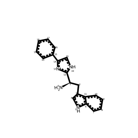 N[C@H](Cc1c[nH]c2ccccc12)c1nc(-c2ccccc2)c[nH]1